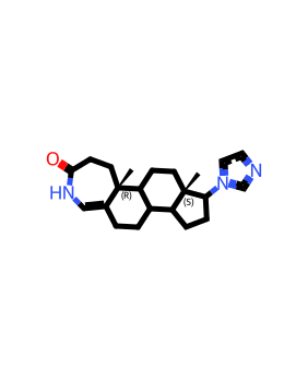 C[C@]12CCC3C(CCC4=CNC(=O)CC[C@@]43C)C1CCC2n1ccnc1